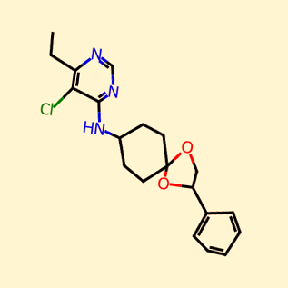 CCc1ncnc(NC2CCC3(CC2)OCC(c2ccccc2)O3)c1Cl